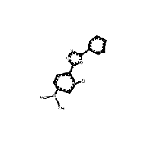 OB(O)c1ccc(-c2nnc(-c3ccccc3)o2)c(Cl)c1